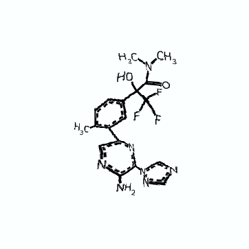 Cc1ccc(C(O)(C(=O)N(C)C)C(F)(F)F)cc1-c1cnc(N)c(-n2cncn2)n1